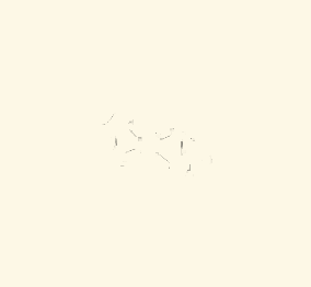 O=C(Cl)c1ccc(Oc2cc(F)cc3ccoc23)cc1Cl